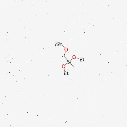 CCCO[CH][Si](C)(OCC)OCC